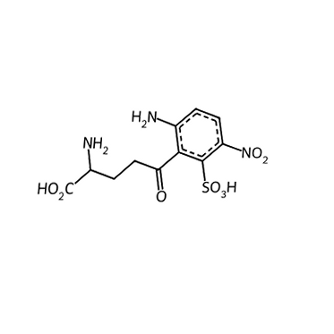 Nc1ccc([N+](=O)[O-])c(S(=O)(=O)O)c1C(=O)CCC(N)C(=O)O